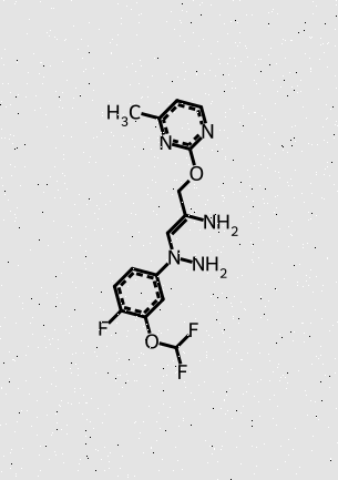 Cc1ccnc(OC/C(N)=C/N(N)c2ccc(F)c(OC(F)F)c2)n1